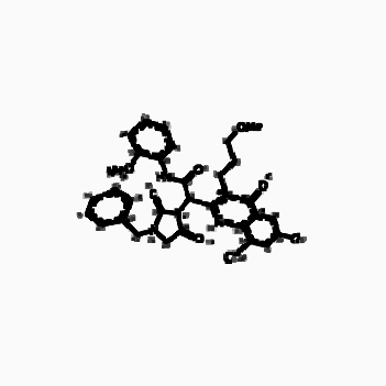 COCCCn1c(C(C(=O)Nc2ccccc2OC)N2C(=O)CN(Cc3ccccc3)C2=O)nc2c(Cl)cc(Cl)cc2c1=O